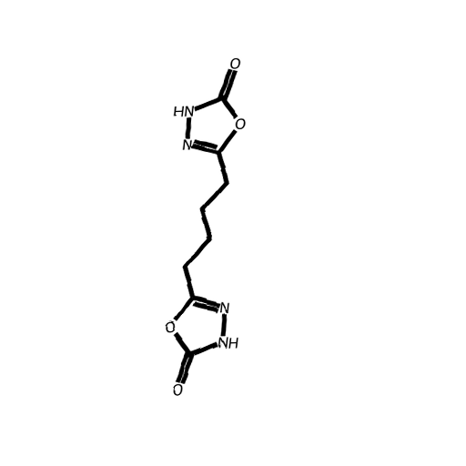 O=c1[nH]nc(CCCCc2n[nH]c(=O)o2)o1